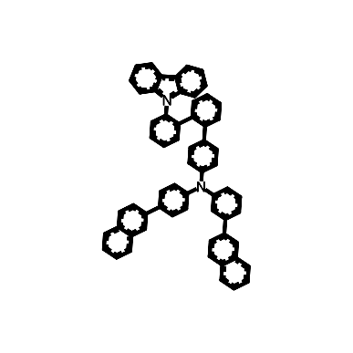 c1cc(-c2ccc3ccccc3c2)cc(N(c2ccc(-c3ccc4ccccc4c3)cc2)c2ccc(-c3ccccc3-c3ccccc3-n3c4ccccc4c4ccccc43)cc2)c1